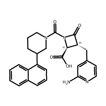 Nc1cc(C[C@H]2C(=O)N(C(=O)N3CCCC(c4cccc5ccccc45)C3)[C@@H]2C(=O)O)ccn1